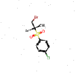 CC(=O)C(C)(CBr)S(=O)(=O)c1ccc(Cl)cc1